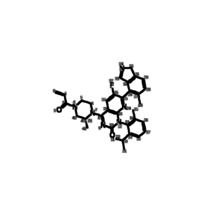 C=CC(=O)N1CCN(c2nc(=O)n(-c3c(C)cccc3C(C)C)c3nc(-c4c(C)ccc5c4C=NC5)c(F)cc23)[C@@H](C)C1